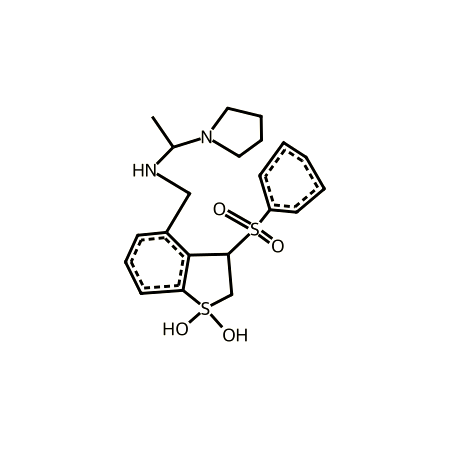 CC(NCc1cccc2c1C(S(=O)(=O)c1ccccc1)CS2(O)O)N1CCCC1